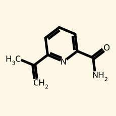 C=C(C)c1cccc(C(N)=O)n1